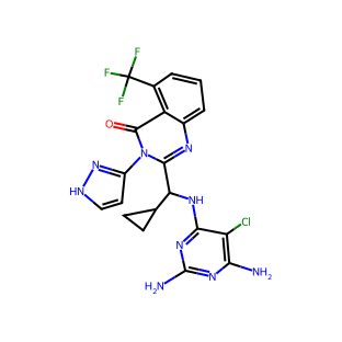 Nc1nc(N)c(Cl)c(NC(c2nc3cccc(C(F)(F)F)c3c(=O)n2-c2cc[nH]n2)C2CC2)n1